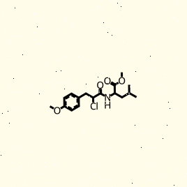 COC(=O)C(CC(C)C)NC(=O)C(Cl)Cc1ccc(OC)cc1